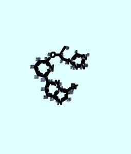 C[C@@H](Cn1cnnn1)Oc1cccc(-c2ccc3ncc(Br)n3n2)n1